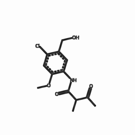 COc1cc(Cl)c(CO)cc1NC(=O)C(C)C(C)=O